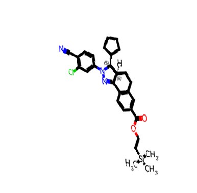 C[Si](C)(C)CCOC(=O)c1ccc2c(c1)CC[C@H]1C2=NN(c2ccc(C#N)c(Cl)c2)[C@H]1C1CCCC1